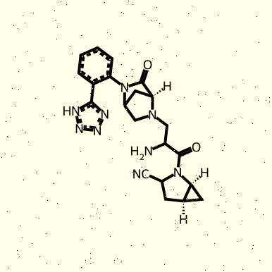 N#CC1C[C@@H]2C[C@@H]2N1C(=O)C(N)CN1CC2C[C@H]1C(=O)N2c1ccccc1-c1nnn[nH]1